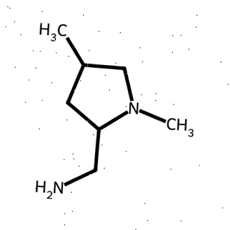 CC1CC(CN)N(C)C1